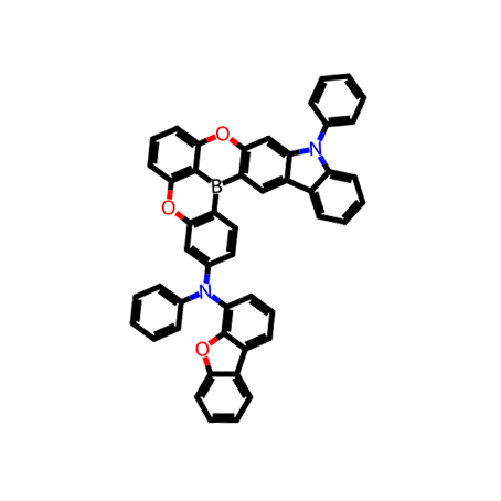 c1ccc(N(c2ccc3c(c2)Oc2cccc4c2B3c2cc3c5ccccc5n(-c5ccccc5)c3cc2O4)c2cccc3c2oc2ccccc23)cc1